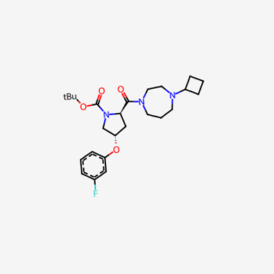 CC(C)(C)OC(=O)N1C[C@@H](Oc2cccc(F)c2)C[C@@H]1C(=O)N1CCCN(C2CCC2)CC1